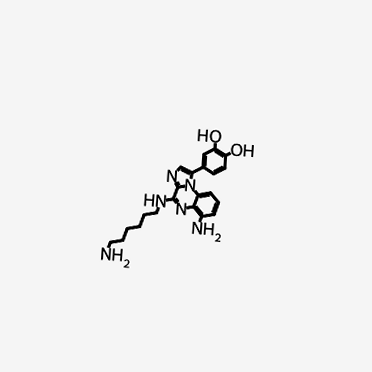 NCCCCCCNc1nc2c(N)cccc2n2c(-c3ccc(O)c(O)c3)cnc12